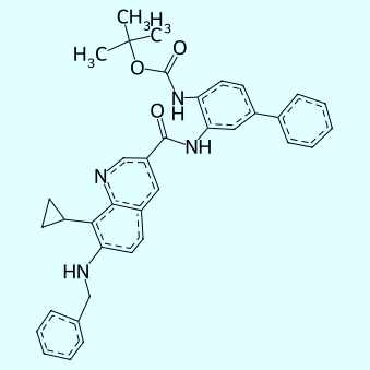 CC(C)(C)OC(=O)Nc1ccc(-c2ccccc2)cc1NC(=O)c1cnc2c(C3CC3)c(NCc3ccccc3)ccc2c1